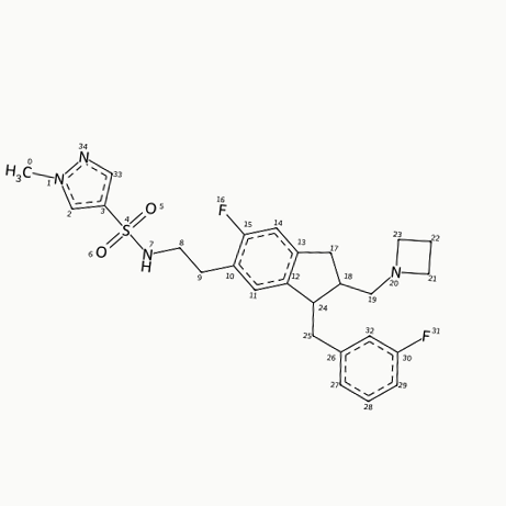 Cn1cc(S(=O)(=O)NCCc2cc3c(cc2F)CC(CN2CCC2)C3Cc2cccc(F)c2)cn1